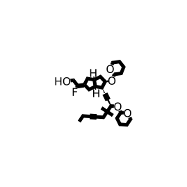 CCC#CCC(C)(C)[C@@H](C#C[C@@H]1[C@H]2C/C(=C(\F)CO)C[C@H]2C[C@H]1OC1CCCCO1)OC1CCCCO1